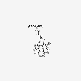 CCn1c2ccccc2c2cc(C=O)ccc21.NC1CCCCC1.NCCCCC(N)C(=O)O